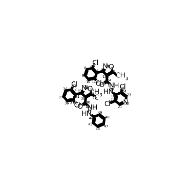 Cc1onc(-c2c(Cl)cccc2Cl)c1C(=O)NNc1c(Cl)cncc1Cl.Cc1onc(-c2c(Cl)cccc2Cl)c1C(=O)NNc1ccccc1